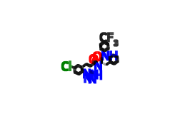 O=C(C=Cc1cc(Cl)ccc1-n1cnnn1)N[C@@H](Cc1ccccc1)C(=O)Nc1ccc(C(F)(F)F)cc1